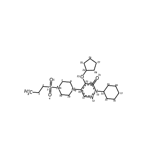 CCCS(=O)(=O)N1CCN(c2cnn(C3CCCCC3)c(=O)c2OC2CCCC2)CC1